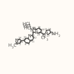 Cl.Cl.Cl.Cn1cc(-c2ccc3ccc(-c4nnc5ccc([C@H](N6CC[C@H](N)C6)C(F)(F)F)cn45)nc3c2)cn1